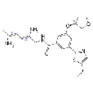 CCc1cnc(-c2cc(O[C@H]3CCOC3)cc(C(=O)NC/C(N)=C/C=C(/C)N)c2)s1